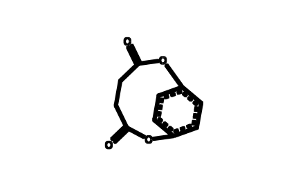 O=C1CCC(=O)Oc2ccc(cc2)O1